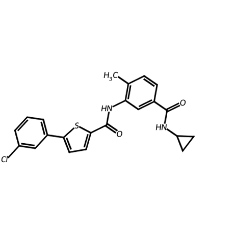 Cc1ccc(C(=O)NC2CC2)cc1NC(=O)c1ccc(-c2cccc(Cl)c2)s1